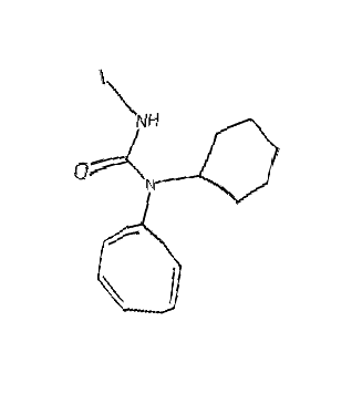 O=C(NI)N(c1ccccc1)C1CCCCC1